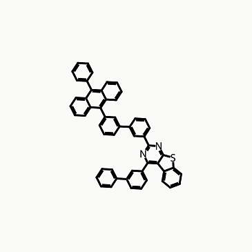 c1ccc(-c2cccc(-c3nc(-c4cccc(-c5cccc(-c6c7ccccc7c(-c7ccccc7)c7ccccc67)c5)c4)nc4sc5ccccc5c34)c2)cc1